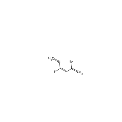 C=N/C(F)=C\C(=C)Br